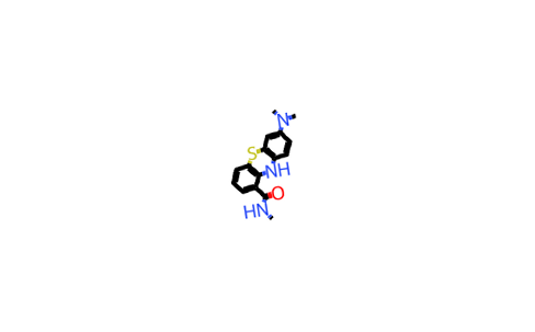 CNC(=O)c1cccc2c1Nc1ccc(N(C)C)cc1S2